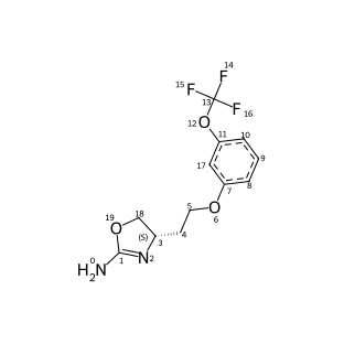 NC1=N[C@@H](CCOc2cccc(OC(F)(F)F)c2)CO1